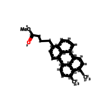 COC(=O)CCCc1ccc2c3ccc(C(F)(F)F)c4c(C(F)(F)F)ccc(c5cccc1c52)c43